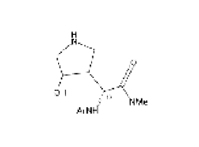 CNC(=O)[C@H](NC(C)=O)C1CNCC1O